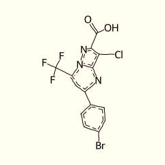 O=C(O)c1nn2c(C(F)(F)F)cc(-c3ccc(Br)cc3)nc2c1Cl